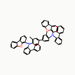 Cc1cc(-c2ccc(N(c3ccccc3-c3ccccc3)c3cccc4c3oc3ccccc34)c(C)c2)ccc1N(c1ccccc1-c1ccccc1)c1cccc2c1oc1ccccc12